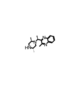 Cc1nc2ccccc2nc1[C@H](C)N1C[C@H](C)NC[C@H]1C